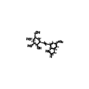 CCCCc1cc(C#CC2OC(CO)[C@@H](O)C(O)C2O)c2c(c1)CNN2